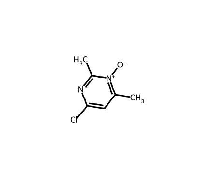 Cc1cc(Cl)nc(C)[n+]1[O-]